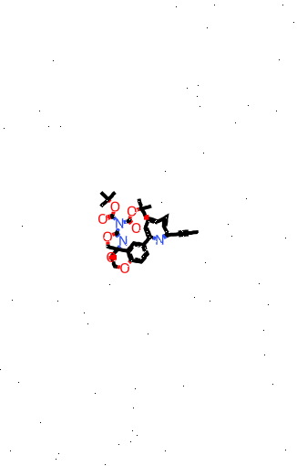 CC#CC1=N/C(c2ccc3c(c2)C2(COC(N(C(=O)OC(C)(C)C)C(=O)OC(C)(C)C)=N2)C2(COC2)CO3)=C\C=C\C=C\1